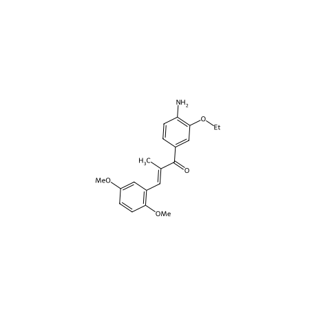 CCOc1cc(C(=O)/C(C)=C/c2cc(OC)ccc2OC)ccc1N